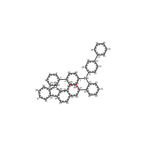 c1ccc(-c2ccc(N(c3ccc(-c4ccccc4)cc3)c3ccccc3-c3ccc4c(ccc5c6ccccc6oc45)c3)cc2)cc1